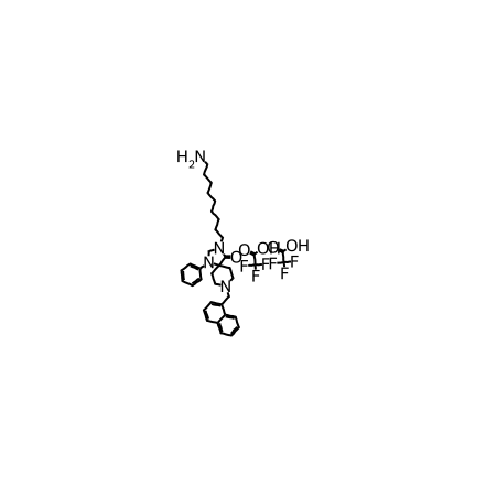 NCCCCCCCCCN1CN(c2ccccc2)C2(CCN(Cc3cccc4ccccc34)CC2)C1=O.O=C(O)C(F)(F)F.O=C(O)C(F)(F)F